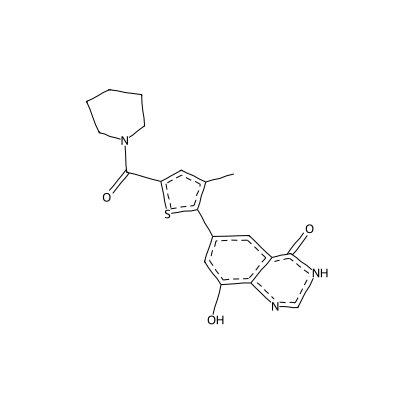 Cc1cc(C(=O)N2CCCCC2)sc1-c1cc(O)c2nc[nH]c(=O)c2c1